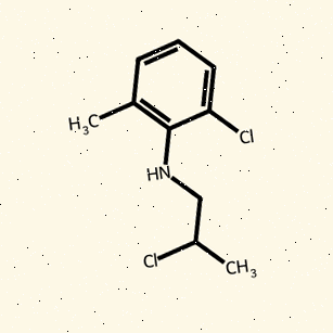 Cc1cccc(Cl)c1NCC(C)Cl